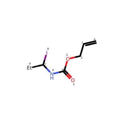 C=CCOC(=O)NC(I)CC